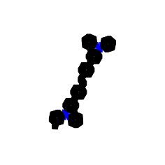 Cc1cccc(-n2c3ccccc3c3cc(-c4ccc(/C=C/c5ccc(-c6ccc7c(c6)c6ccccc6n7-c6ccccc6)cc5)cc4)ccc32)c1